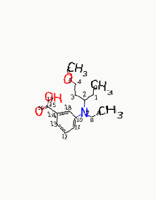 CCC(CCOC)N(CC)c1cccc(C(=O)O)c1